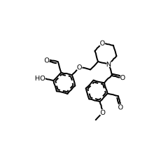 COc1cccc(C(=O)N2CCOCC2COc2cccc(O)c2C=O)c1C=O